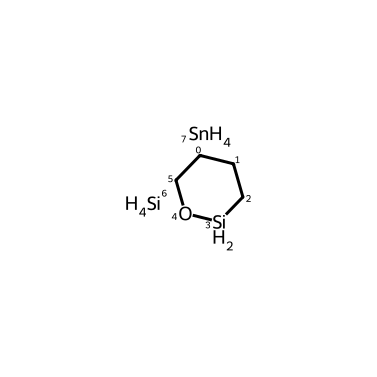 C1CC[SiH2]OC1.[SiH4].[SnH4]